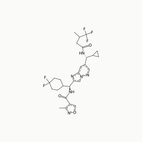 Cc1nocc1C(=O)N[C@H](c1cn2ncc([C@H](NC(=O)CC(C)C(F)(F)F)C3CC3)cc2n1)C1CCC(F)(F)CC1